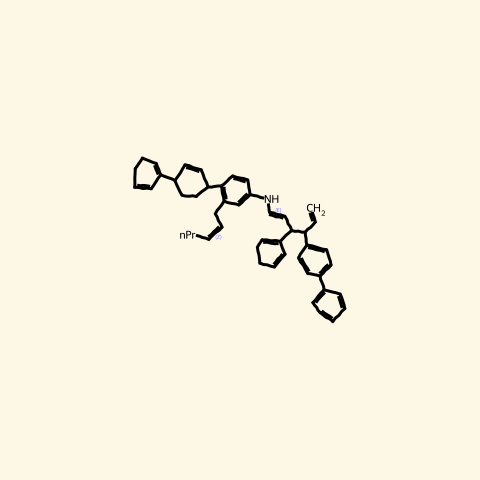 C=CC(c1ccc(-c2ccccc2)cc1)C(/C=C/Nc1ccc(C2C=CC(C3=CCCC=C3)CC2)c(C/C=C\CCC)c1)C1=CCCC=C1